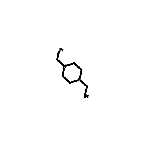 CC(C)CN1CCN(CC(C)C)CC1